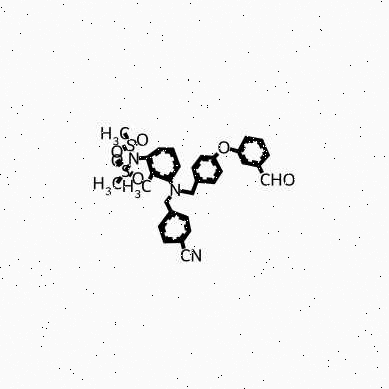 Cc1c(N(Cc2ccc(C#N)cc2)Cc2ccc(Oc3cccc(C=O)c3)cc2)cccc1N(S(C)(=O)=O)S(C)(=O)=O